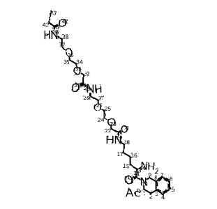 CC(=O)[C@H]1Cc2ccccc2CN1C(=O)[C@H](N)CCCCNC(=O)COCCOCCNC(=O)COCCOCCNC(=O)CI